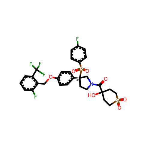 O=C(N1CC[C@](c2ccc(OCc3c(F)cccc3C(F)(F)F)cc2)(S(=O)(=O)c2ccc(F)cc2)C1)C1(O)CCS(=O)(=O)CC1